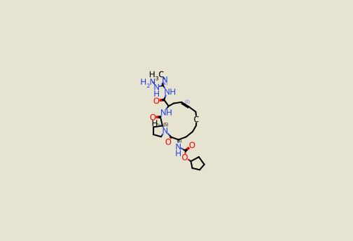 C/N=C(\NN)NC(=O)C1C/C=C\CCCCC[C@H](NC(=O)OC2CCCC2)C(=O)N2CCC[C@H]2C(=O)N1